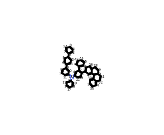 c1ccc(-c2ccc(-c3cccc(N(c4ccccc4)c4ccc(-c5ccc6ccc7ccc8ccccc8c7c6c5)c(-c5ccccc5)c4)c3)cc2)cc1